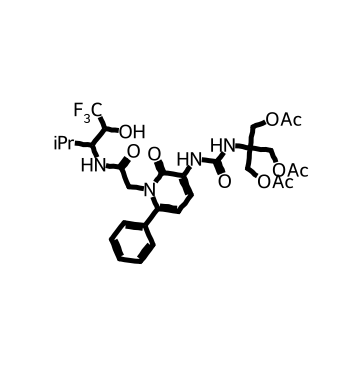 CC(=O)OCC(COC(C)=O)(COC(C)=O)NC(=O)Nc1ccc(-c2ccccc2)n(CC(=O)NC(C(C)C)C(O)C(F)(F)F)c1=O